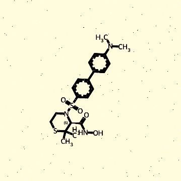 CN(C)c1ccc(-c2ccc(S(=O)(=O)N3CCSC(C)(C)[C@@H]3C(=O)NO)cc2)cc1